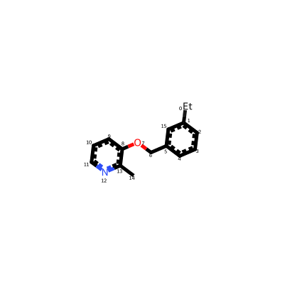 CCc1cccc(COc2cccnc2C)c1